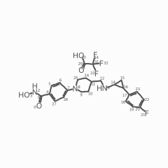 O=C(NO)c1ccc(N2CCC(CNC3CC3c3ccc(F)cc3)CC2)cc1.O=C(O)C(F)(F)F